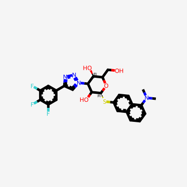 CN(C)c1cccc2cc(S[C@H]3OC(CO)[C@H](O)C(n4cc(-c5cc(F)c(F)c(F)c5)nn4)C3O)ccc12